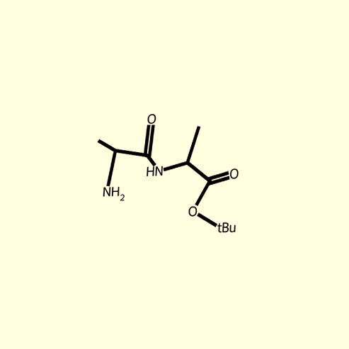 CC(N)C(=O)NC(C)C(=O)OC(C)(C)C